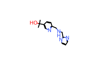 CC(C)(O)c1ccc(CNCc2ncccn2)nc1